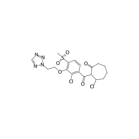 CS(=O)(=O)c1ccc(C(=O)C2C(=O)CCCCC2Cl)c(Cl)c1OCCn1ncnn1